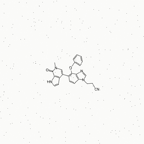 Cn1cc(-c2ccc3c(ncn3CCC#N)c2Oc2ccccc2)c2cc[nH]c2c1=O